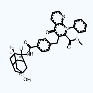 COC(=O)c1c(Cc2ccc(C(=O)N[C@@H]3C4CC5C[C@H]3C[C@](O)(C5)C4)cc2)c(=O)c2cccnc2n1-c1ccccc1